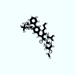 CCCCc1nc(C(C)C)n(-c2ncc(OCC)cn2)c(=O)c1Cc1ccc(-c2ccccc2S(=O)(=O)NC(C)(C)C)cc1